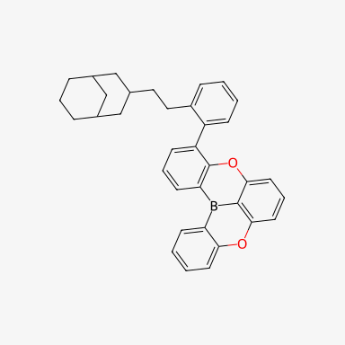 c1ccc(-c2cccc3c2Oc2cccc4c2B3c2ccccc2O4)c(CCC2CC3CCCC(C3)C2)c1